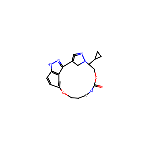 O=C1NCCCOc2ccc3[nH]nc(c3c2)C2=C=NN(C2)C(C2CC2)CO1